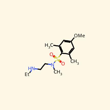 CCNCCN(C)S(=O)(=O)c1c(C)cc(OC)cc1C